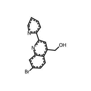 OCc1cc(-c2ccccn2)nc2cc(Br)ccc12